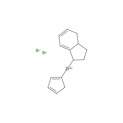 C1=CC[C]([Zr+2][CH]2CCC3CC=CC=C32)=C1.[Br-].[Br-]